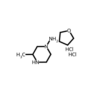 C1CCOC1.CC1CN(N)CCN1.Cl.Cl